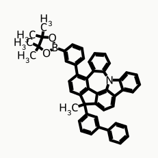 CC1(c2cccc(-c3ccccc3)c2)c2ccc(-c3cccc(B4OC(C)(C)C(C)(C)O4)c3)c3c2-c2c1ccc1c4ccccc4n(c21)-c1ccccc1-3